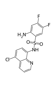 Nc1cc(F)c(F)cc1S(=O)(=O)Nc1ccc(Cl)c2cccnc12